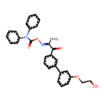 O=C/C(=N\OC(=O)N(c1ccccc1)c1ccccc1)C(=O)c1cccc(-c2cccc(OCCO)c2)c1